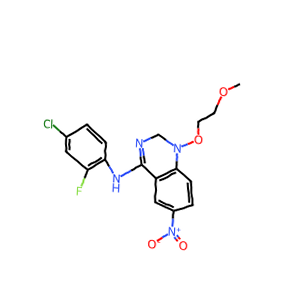 COCCON1CN=C(Nc2ccc(Cl)cc2F)c2cc([N+](=O)[O-])ccc21